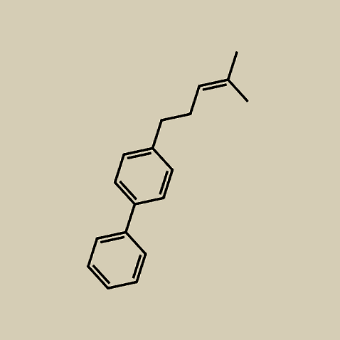 CC(C)=CCCc1ccc(-c2ccccc2)cc1